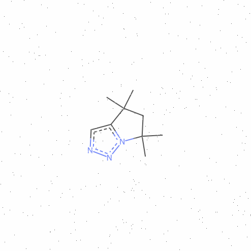 CC1(C)CC(C)(C)n2nncc21